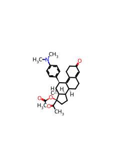 CC(=O)O[C@]1(C(C)=O)CC[C@@H]2[C@@H]3CCC4=CC(=O)CCC4=C3[C@H](c3ccc(N(C)C)cc3)C[C@@]21C